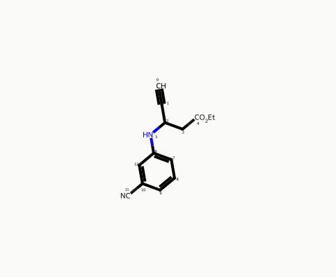 C#CC(CC(=O)OCC)Nc1cccc(C#N)c1